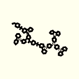 C=Cc1ccc(C(C)(C)c2ccc3c(c2)c2ccccc2n3-c2ccc(C(=C)c3ccc(C(C)(C)c4ccc5c(c4)c4ccccc4n5-c4ccc(N(c5ccc(-n6c7ccccc7c7ccccc76)cc5)c5ccc(-n6c7ccccc7c7ccccc76)cc5)cc4)cc3)c(-c3cccc(-n4c5ccccc5c5ccccc54)c3)c2)cc1